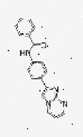 O=C(Nc1ccc(-c2cn3cccnc3n2)cc1)c1ccccc1